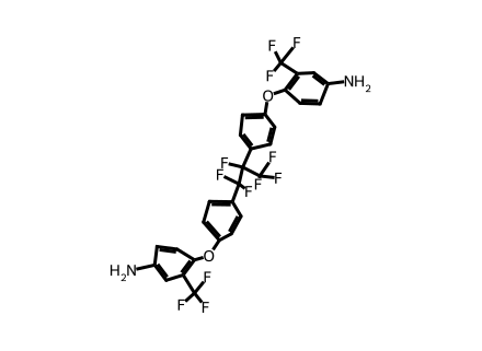 Nc1ccc(Oc2ccc(C(F)(F)C(F)(c3ccc(Oc4ccc(N)cc4C(F)(F)F)cc3)C(F)(F)F)cc2)c(C(F)(F)F)c1